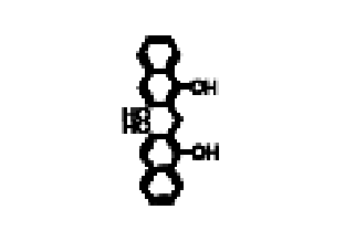 Oc1cc2ccccc2c(O)c1Cc1c(O)cc2ccccc2c1O